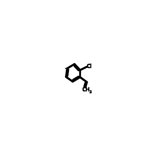 C=Cc1cc[c]cc1Cl